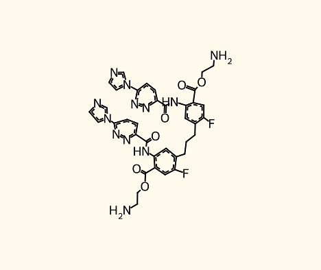 NCCOC(=O)c1cc(F)c(CCCc2cc(NC(=O)c3ccc(-n4ccnc4)nn3)c(C(=O)OCCN)cc2F)cc1NC(=O)c1ccc(-n2ccnc2)nn1